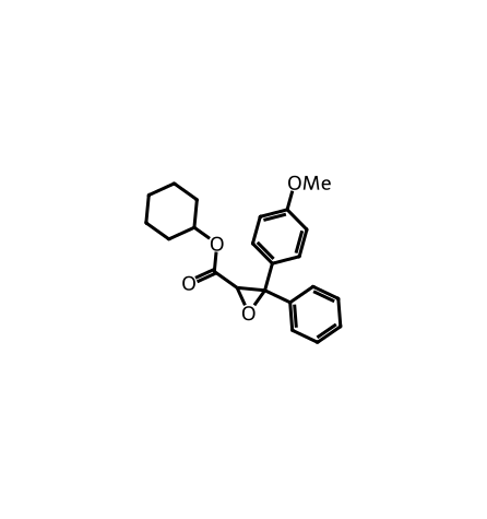 COc1ccc(C2(c3ccccc3)OC2C(=O)OC2CCCCC2)cc1